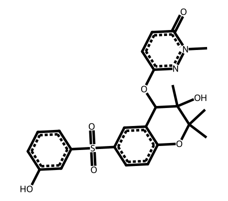 Cn1nc(OC2c3cc(S(=O)(=O)c4cccc(O)c4)ccc3OC(C)(C)C2(C)O)ccc1=O